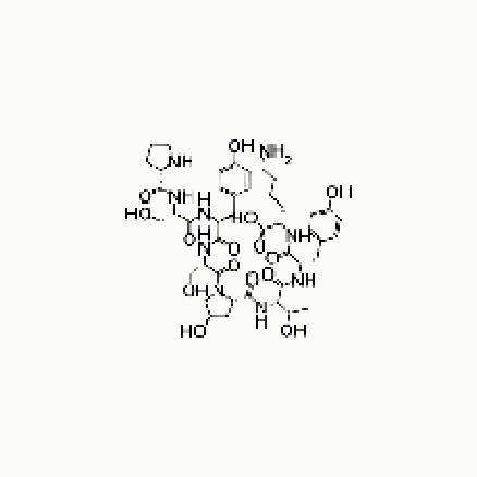 C[C@@H](O)[C@H](NC(=O)[C@@H]1C[C@@H](O)CN1C(=O)[C@H](CO)NC(=O)[C@H](Cc1ccc(O)cc1)NC(=O)[C@H](CO)NC(=O)[C@@H]1CCCN1)C(=O)N[C@@H](Cc1ccc(O)cc1)C(=O)N[C@@H](CCCCN)C(=O)O